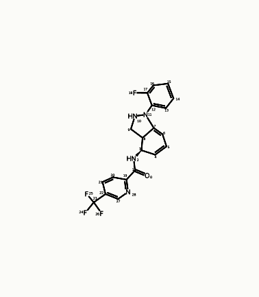 O=C(N[C@@H]1C=CC=C2C1CNN2c1ccccc1F)c1ccc(C(F)(F)F)cn1